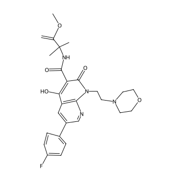 C=C(OC)C(C)(C)NC(=O)c1c(O)c2cc(-c3ccc(F)cc3)cnc2n(CCN2CCOCC2)c1=O